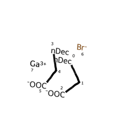 CCCCCCCCCCCC(=O)[O-].CCCCCCCCCCCC(=O)[O-].[Br-].[Ga+3]